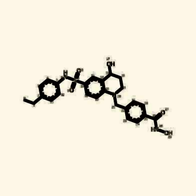 CCc1ccc(NS(=O)(=O)c2ccc3c(c2)C(O)CCN3Cc2ccc(C(=O)NO)cc2)cc1